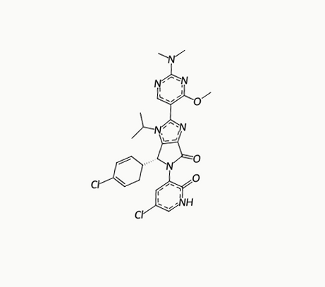 COc1nc(N(C)C)ncc1-c1nc2c(n1C(C)C)[C@@H](C1C=CC(Cl)=CC1)N(c1cc(Cl)c[nH]c1=O)C2=O